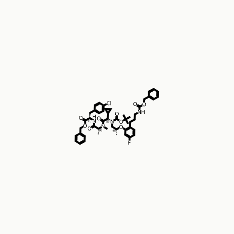 C[C@H](CN(C(=O)OC(C)(C)C)[C@H](C(=O)N(C)[C@H](C)C(=O)N[C@H](Cc1ccc(Cl)cc1)C(=O)OCc1ccccc1)C1CC1)Oc1cc(F)ccc1CCCNC(=O)OCc1ccccc1